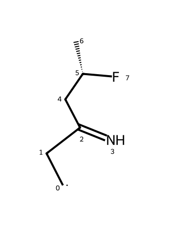 [CH2]CC(=N)C[C@H](C)F